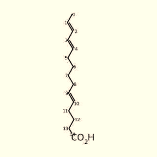 CC=CC=CCCCCC=CCCCC(=O)O